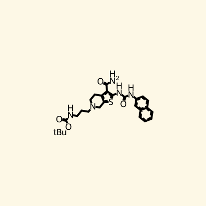 CC(C)(C)OC(=O)NCCCN1CCc2c(sc(NC(=O)Nc3ccc4ccccc4c3)c2C(N)=O)C1